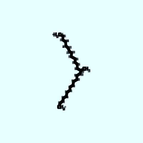 [CH2]CCCCCCCCCCCCC(C)CCCCCCCCCCCC[CH2]